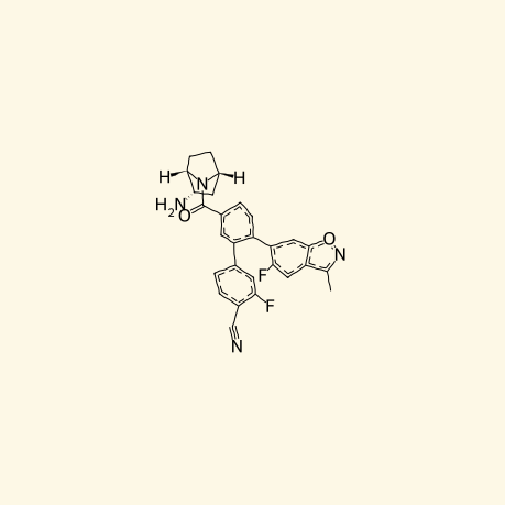 Cc1noc2cc(-c3ccc(C(=O)N4[C@@H]5CC[C@H]4[C@@H](N)C5)cc3-c3ccc(C#N)c(F)c3)c(F)cc12